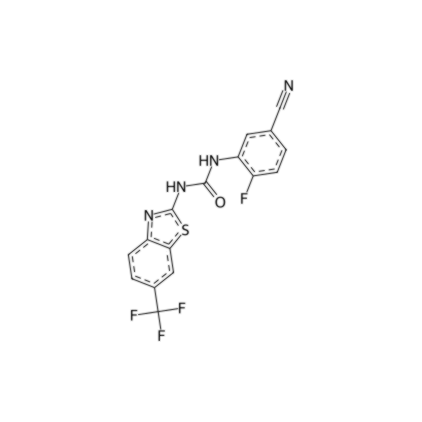 N#Cc1ccc(F)c(NC(=O)Nc2nc3ccc(C(F)(F)F)cc3s2)c1